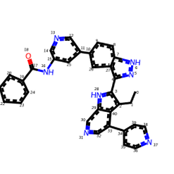 CCc1c(-c2n[nH]c3ccc(-c4cncc(NC(=O)c5ccccc5)c4)cc23)[nH]c2cncc(-c3ccncc3)c12